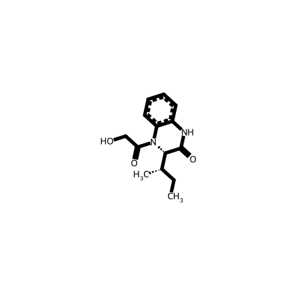 CC[C@H](C)[C@H]1C(=O)Nc2ccccc2N1C(=O)CO